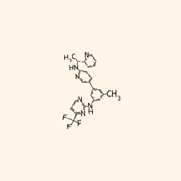 Cc1cc(Nc2nccc(C(F)(F)F)n2)cc(-c2ccc(NC(C)c3ccccn3)nc2)c1